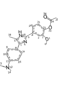 COc1cc(-c2nc(-c3ccc(N(C)C)cc3)c(C)[nH]2)ccc1OC(C)=O